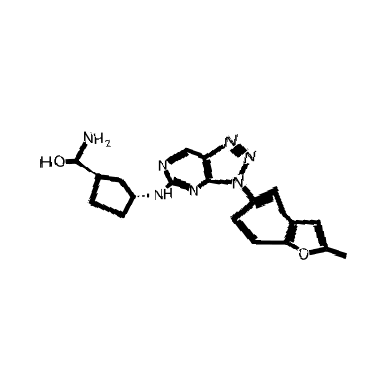 Cc1cc2cc(-n3nnc4cnc(N[C@@H]5CC[C@@H](C(N)O)C5)nc43)ccc2o1